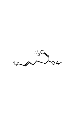 C=CC(CCCC=CC)OC(C)=O